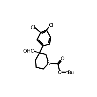 CC(C)(C)OC(=O)N1CCC[C@](C=O)(c2ccc(Cl)c(Cl)c2)C1